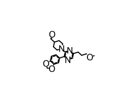 COCCCc1cnc(-c2ccc3c(c2)OCO3)c(N2CCC(C=O)CC2)n1